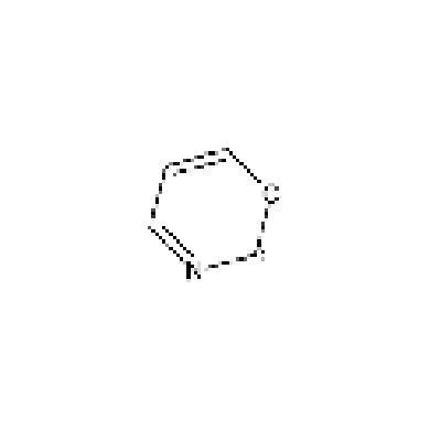 [C]1N=CC=CO1